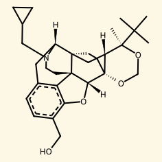 CC(C)(C)[C@@]1(C)OCO[C@]23CC[C@@]4(C[C@@H]21)[C@H]1Cc2ccc(CO)c5c2[C@@]4(CCN1CC1CC1)[C@H]3O5